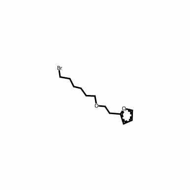 BrCCCCCCOCCc1ccco1